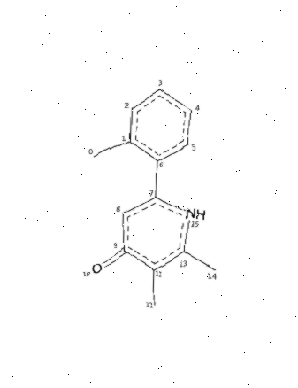 Cc1ccccc1-c1cc(=O)c(C)c(C)[nH]1